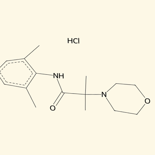 Cc1cccc(C)c1NC(=O)C(C)(C)N1CCOCC1.Cl